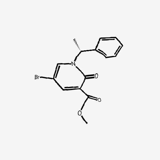 COC(=O)c1cc(Br)cn([C@H](C)c2ccccc2)c1=O